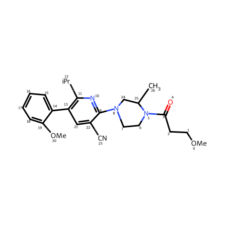 COCCC(=O)N1CCN(c2nc(C(C)C)c(-c3ccccc3OC)cc2C#N)CC1C